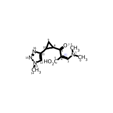 CN(C)/C=C(/C(=O)O)C(=O)C1CC1c1cn(C)nn1